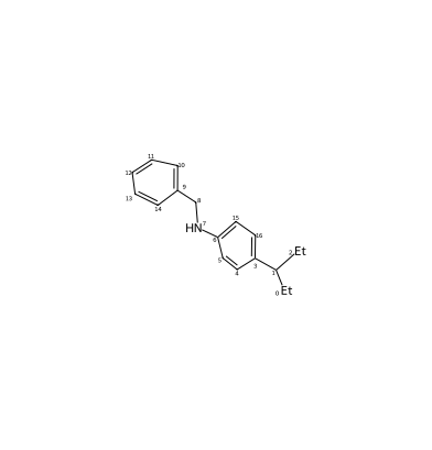 CCC(CC)c1ccc(NCc2ccccc2)cc1